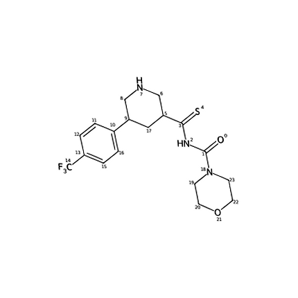 O=C(NC(=S)C1CNCC(c2ccc(C(F)(F)F)cc2)C1)N1CCOCC1